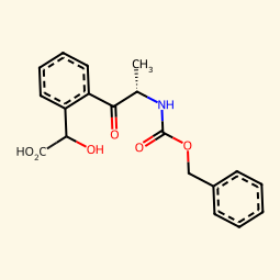 C[C@H](NC(=O)OCc1ccccc1)C(=O)c1ccccc1C(O)C(=O)O